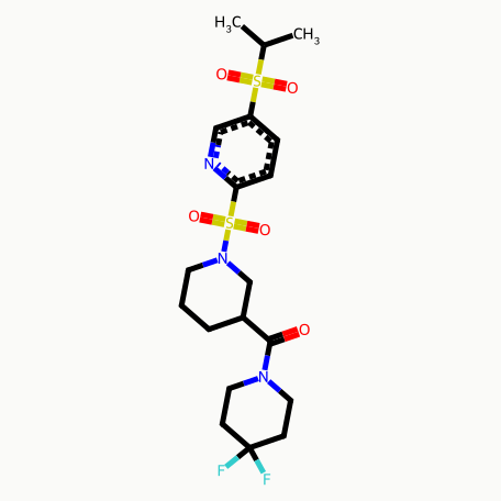 CC(C)S(=O)(=O)c1ccc(S(=O)(=O)N2CCCC(C(=O)N3CCC(F)(F)CC3)C2)nc1